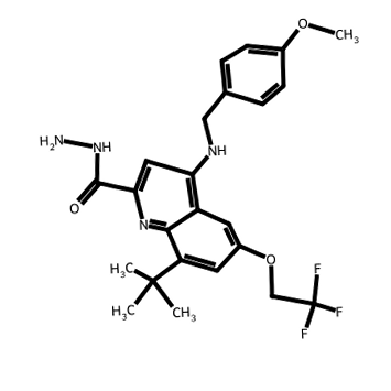 COc1ccc(CNc2cc(C(=O)NN)nc3c(C(C)(C)C)cc(OCC(F)(F)F)cc23)cc1